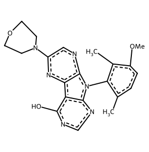 COc1ccc(C)c(-n2c3ncc(N4CCOCC4)nc3c3c(O)ncnc32)c1C